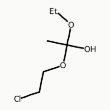 CCOC(C)(O)OCCCl